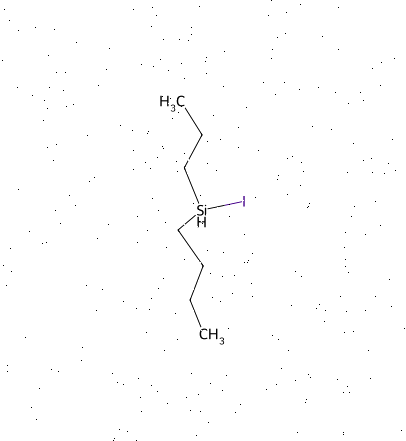 CCCC[SiH](I)CCC